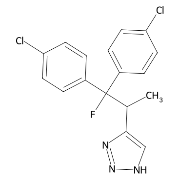 CC(c1c[nH]nn1)C(F)(c1ccc(Cl)cc1)c1ccc(Cl)cc1